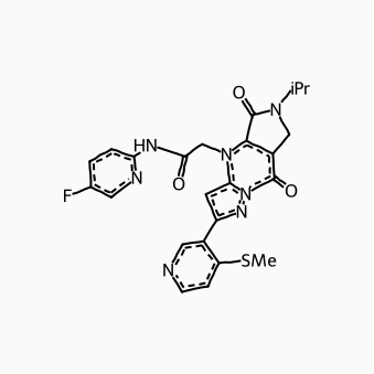 CSc1ccncc1-c1cc2n(CC(=O)Nc3ccc(F)cn3)c3c(c(=O)n2n1)CN(C(C)C)C3=O